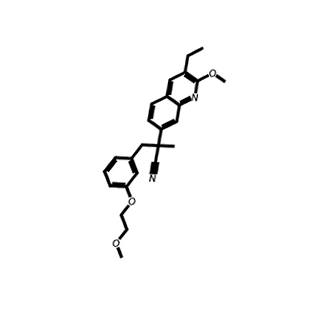 CCc1cc2ccc(C(C)(C#N)Cc3cccc(OCCOC)c3)cc2nc1OC